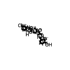 O=C(c1cnc(-c2cccc(CO)[n+]2[O-])nc1)N1CCN(S(=O)(=O)c2nc3cc(Cl)ccc3[nH]2)CC1